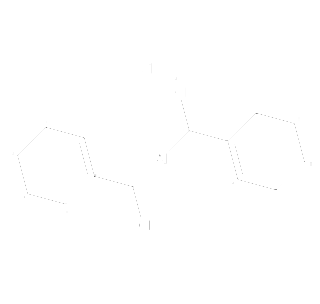 C[CH]([Al+][CH](C)C1=CCCCC1)C1=CCCCC1.[Cl-]